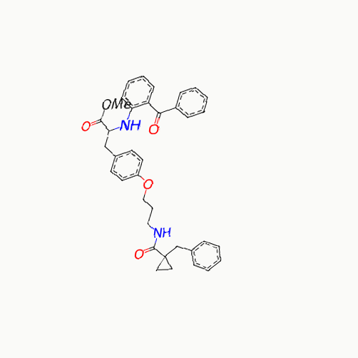 COC(=O)C(Cc1ccc(OCCCNC(=O)C2(Cc3ccccc3)CC2)cc1)Nc1ccccc1C(=O)c1ccccc1